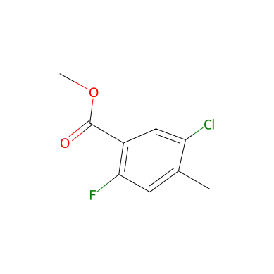 COC(=O)c1cc(Cl)c(C)cc1F